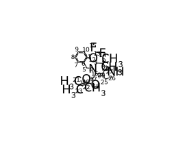 CC(C)CN(Cc1ccccc1OC(F)F)C(C(=O)OC(C)(C)C)[C@@H]1CCNC1